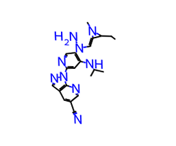 CCC1/C(=C/N(N)c2cnc(-n3ncc4cc(C#N)cnc43)cc2NC(C)C)N1C